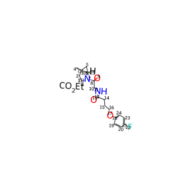 CCOC(=O)[C@@H]1C[C@]2(C)C[C@@H]2N1C(=O)CNC(=O)CCCOc1ccc(F)cc1